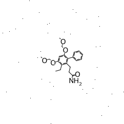 CCc1c(OCOC)cc(OCOC)c(-c2ccccc2)c1CCC(N)=O